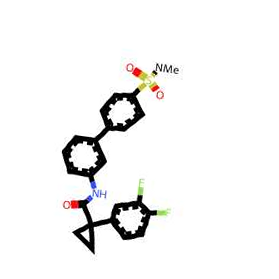 CNS(=O)(=O)c1ccc(-c2cccc(NC(=O)C3(c4ccc(F)c(F)c4)CC3)c2)cc1